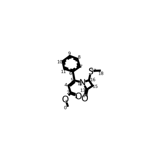 COC(=O)C=C(c1ccccc1)N1C(=O)CC1SC